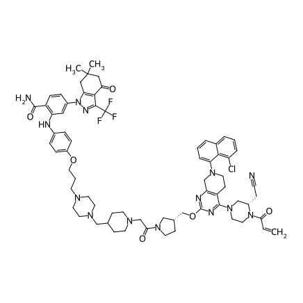 C=CC(=O)N1CCN(c2nc(OC[C@@H]3CCN(C(=O)CN4CCC(CN5CCN(CCCOc6ccc(Nc7cc(-n8nc(C(F)(F)F)c9c8CC(C)(C)CC9=O)ccc7C(N)=O)cc6)CC5)CC4)C3)nc3c2CCN(c2cccc4cccc(Cl)c24)C3)C[C@@H]1CC#N